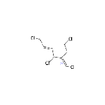 Cl/C=C(\CCCl)C(Cl)C=CCCl